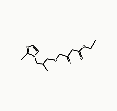 CCOC(=O)CC(=O)COCC(C)Cn1ccnc1C